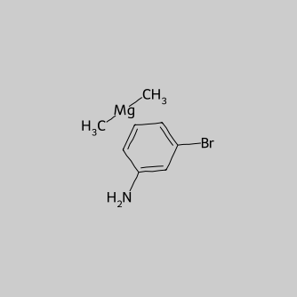 Nc1cccc(Br)c1.[CH3][Mg][CH3]